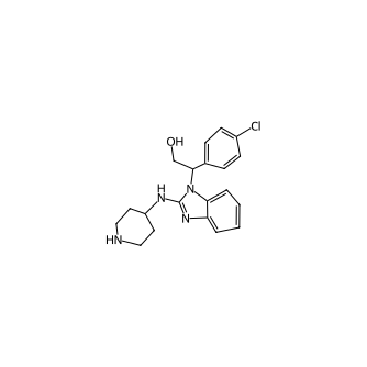 OCC(c1ccc(Cl)cc1)n1c(NC2CCNCC2)nc2ccccc21